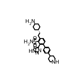 NS(=O)(=O)c1c(CC[C@H]2CC[C@H](N)CC2)ccc(-c2ccc(C3CCNCC3)cc2)c1-c1nn[nH]n1